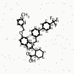 Cn1ccc(COc2ccc3nc(C4CCCCC4C(=O)O)n(Cc4cccc(-c5ccc(C(F)(F)F)cc5)c4)c3c2)n1